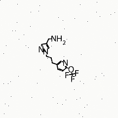 NCc1cnn(CCCc2ccc(OC(F)(F)F)nc2)c1